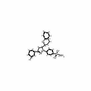 NS(=O)(=O)c1ccc(N2N=C(c3cccc(I)c3)CC2C2CCc3ccccc3O2)cc1